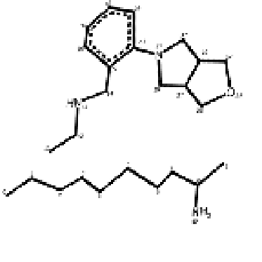 CCCCCCCCC(C)N.CCNCc1ccccc1N1CC2COCC2C1